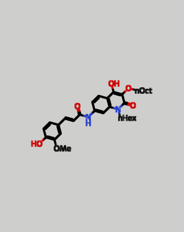 CCCCCCCCOc1c(O)c2ccc(NC(=O)C=Cc3ccc(O)c(OC)c3)cc2n(CCCCCC)c1=O